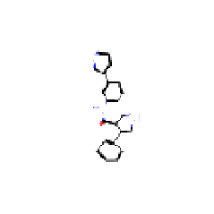 CN(C(=O)C1CNCC1c1ccccc1)c1cccc(-c2cccnc2)c1